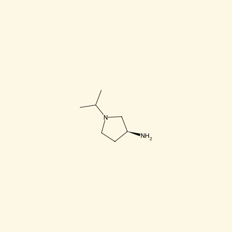 CC(C)N1CC[C@H](N)C1